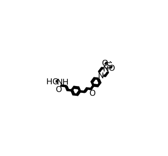 CS(=O)(=O)N1CCN(c2ccc(C(=O)C=Cc3ccc(C=CC(=O)NO)cc3)cc2)CC1